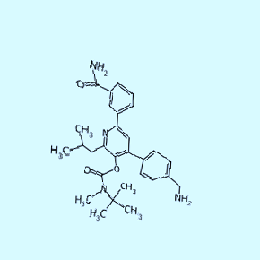 CC(C)Cc1nc(-c2cccc(C(N)=O)c2)cc(-c2ccc(CN)cc2)c1OC(=O)N(C)C(C)(C)C